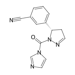 N#Cc1cccc([C@@H]2CC=NN2C(=O)n2ccnc2)c1